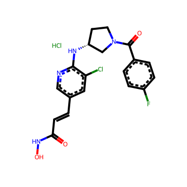 Cl.O=C(C=Cc1cnc(N[C@@H]2CCN(C(=O)c3ccc(F)cc3)C2)c(Cl)c1)NO